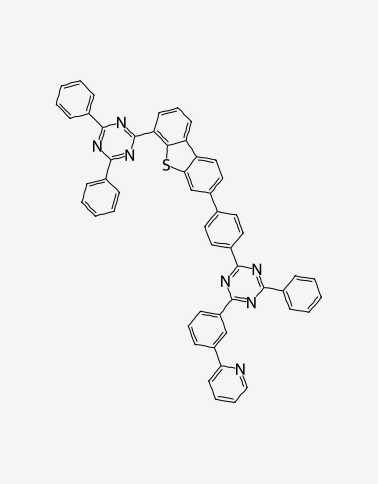 c1ccc(-c2nc(-c3ccc(-c4ccc5c(c4)sc4c(-c6nc(-c7ccccc7)nc(-c7ccccc7)n6)cccc45)cc3)nc(-c3cccc(-c4ccccn4)c3)n2)cc1